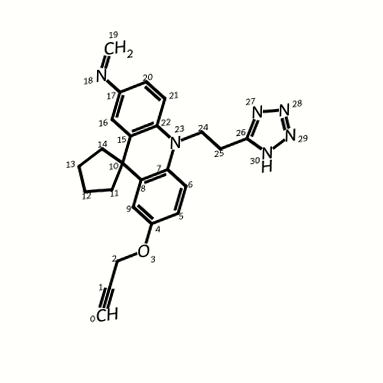 C#CCOc1ccc2c(c1)C1(CCCC1)c1cc(N=C)ccc1N2CCc1nnn[nH]1